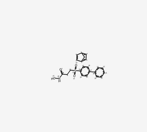 C1=CC2=CC=C1C2.O=C(CCS(=O)(=O)c1ccc(-c2ccccc2)cc1)NO